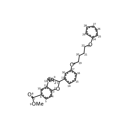 CCC(Oc1ccc(C(=O)OC)cc1N)c1cccc(OCCCCOc2ccccc2)c1